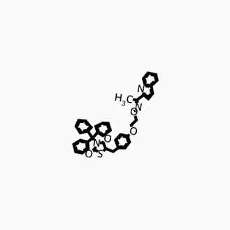 CC(=NOCCOc1ccc(CC2SC(=O)N(C(c3ccccc3)(c3ccccc3)c3ccccc3)C2=O)cc1)c1ccc2ccccc2n1